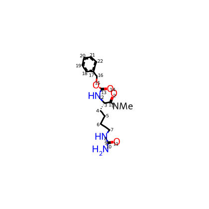 CNC(=O)[C@H](CCCCNC(N)=O)NC(=O)OCc1ccccc1